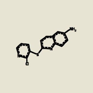 Nc1ccc2nc(Sc3cccnc3Cl)ccc2c1